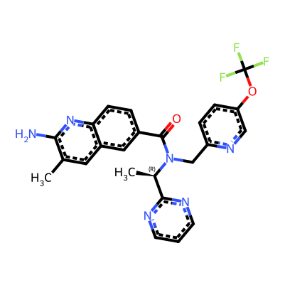 Cc1cc2cc(C(=O)N(Cc3ccc(OC(F)(F)F)cn3)[C@H](C)c3ncccn3)ccc2nc1N